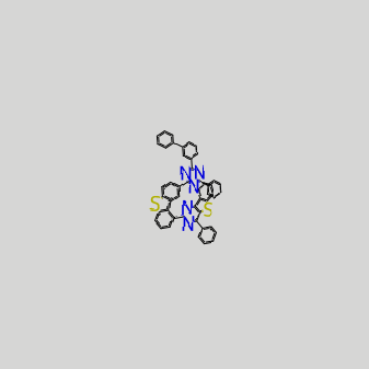 c1ccc(-c2cccc(-c3nc(-c4ccccc4)nc(-c4ccc5sc6cccc(-c7nc(-c8ccccc8)c8sc9ccccc9c8n7)c6c5c4)n3)c2)cc1